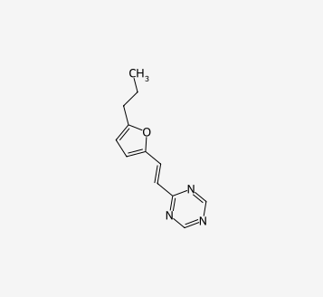 CCCc1ccc(C=Cc2ncncn2)o1